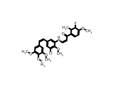 COC1=CC=C(C(=O)/C=C\Nc2cc(/C=C\c3cc(OC)c(OC)c(OC)c3)cc(Cl)c2OC)C(C)C1F